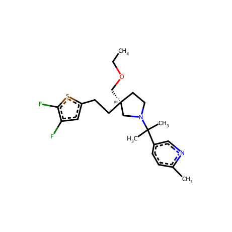 CCOC[C@]1(CCc2cc(F)c(F)s2)CCN(C(C)(C)c2ccc(C)nc2)C1